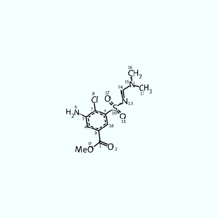 COC(=O)c1cc(N)c(Cl)c(S(=O)(=O)N=CN(C)C)c1